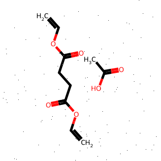 C=COC(=O)CCC(=O)OC=C.CC(=O)O